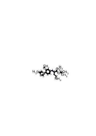 COc1cc(/C=C(\CCN)C(=O)OC(C)(C)C)ccc1-n1cnc(C)c1